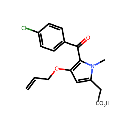 C=CCOc1cc(CC(=O)O)n(C)c1C(=O)c1ccc(Cl)cc1